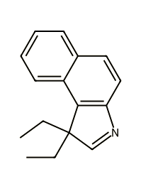 CCC1(CC)C=Nc2ccc3ccccc3c21